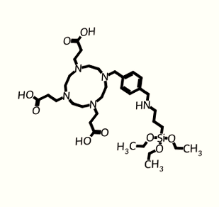 CCO[Si](CCCNCc1ccc(CN2CCN(CCC(=O)O)CCN(CCC(=O)O)CCN(CCC(=O)O)CC2)cc1)(OCC)OCC